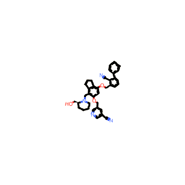 N#Cc1cncc(COc2cc(OCc3cccc(-c4ccccc4)c3C#N)c3c(c2CN2CCCC[C@H]2CO)CCC3)c1